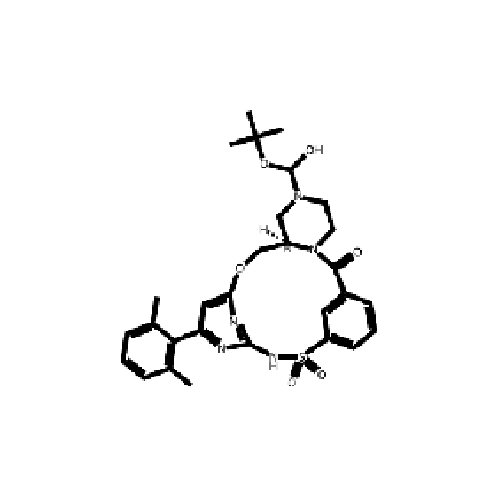 Cc1cccc(C)c1-c1cc2nc(n1)NS(=O)(=O)c1cccc(c1)C(=O)N1CCN(C(O)OC(C)(C)C)C[C@@H]1CO2